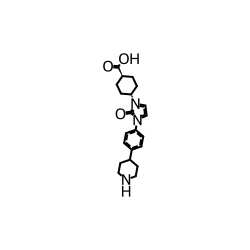 O=c1n(-c2ccc(C3CCNCC3)cc2)ccn1[C@H]1CC[C@H](C(=O)O)CC1